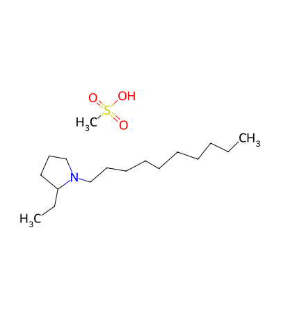 CCCCCCCCCCN1CCCC1CC.CS(=O)(=O)O